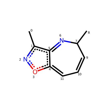 Cc1noc2c1=NC(C)C=CC=2